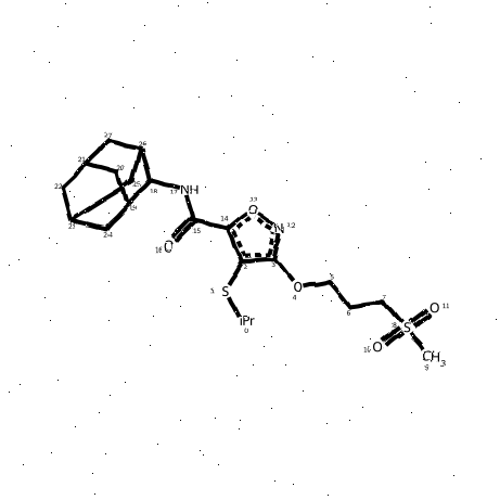 CC(C)Sc1c(OCCCS(C)(=O)=O)noc1C(=O)NC1C2CC3CC(C2)CC1C3